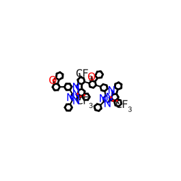 FC(F)(F)c1ccc2c(c1)c1ccccc1n2-c1ccc(-c2ccc(-c3cc(C(F)(F)F)cc4c3c3ccc(C(F)(F)F)cc3n4-c3ccc(-c4cccc5oc6ccccc6c45)cc3-c3nc(-c4ccccc4)nc(-c4ccccc4)n3)c3oc4ccccc4c23)cc1-c1nc(-c2ccccc2)nc(-c2ccccc2)n1